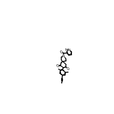 CC#Cc1cc(C)c(C2C(=O)CC3(CCN(C(=O)c4cccnn4)CC3)CC2=O)c(C)c1